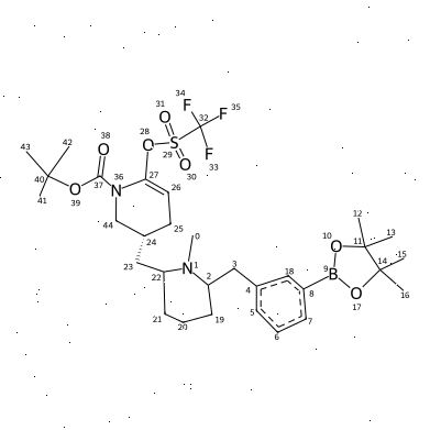 CN1C(Cc2cccc(B3OC(C)(C)C(C)(C)O3)c2)CCCC1C[C@H]1CC=C(OS(=O)(=O)C(F)(F)F)N(C(=O)OC(C)(C)C)C1